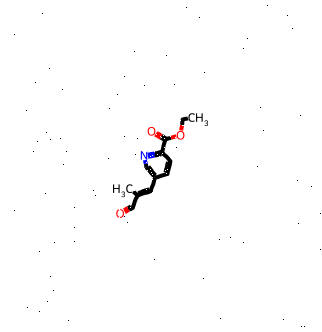 CCOC(=O)c1ccc(/C=C(\C)C=O)cn1